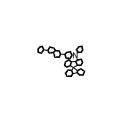 c1ccc(-c2ccc3cc(-c4ccc(N(c5ccccc5)c5cccc6c5-c5ccccc5C65c6ccccc6-c6ccccc65)cc4)ccc3c2)cc1